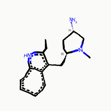 Cc1[nH]c2ccccc2c1C[C@H]1C[C@H](N)CN1C